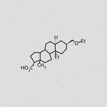 CCOC[C@H]1CC[C@]2(CC)C3CC[C@@]4(C)C(CC[C@@H]4C(=O)O)C3CC[C@H]2C1